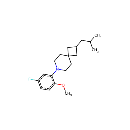 COc1ccc(F)cc1N1CCC2(CC1)CC(CC(C)C)C2